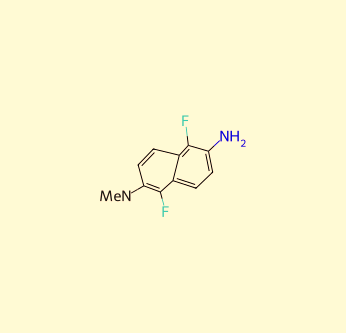 CNc1ccc2c(F)c(N)ccc2c1F